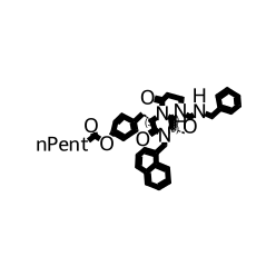 CCCCCC(=O)Oc1ccc(C[C@H]2C(=O)N(Cc3cccc4ccccc34)[C@@H](C)[C@@H]3N(C(=O)NCc4ccccc4)CCC(=O)N32)cc1